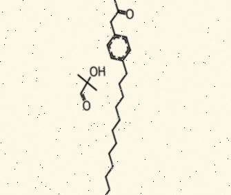 CC(C)(O)C=O.CCCCCCCCCCCCc1ccc(CC(C)=O)cc1